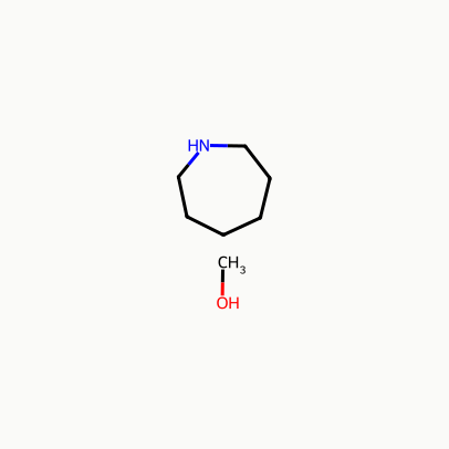 C1CCCNCC1.CO